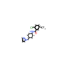 O=C(NC1CCC(Cn2cccn2)CC1)c1cc(C(F)(F)F)ccc1Cl